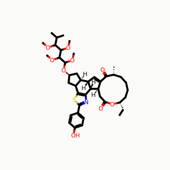 CC[C@H]1CCCC[C@@H](C)C(=O)C2=C[C@@H]3[C@@H](c4nc(-c5ccc(O)cc5)sc4C4C[C@@H](OC(OC)C(OC)C(OC)C(OC)C(C)C)C[C@H]43)[C@@H]2CC(=O)O1